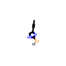 [3H]Pc1nc(C#CC)c[nH]1